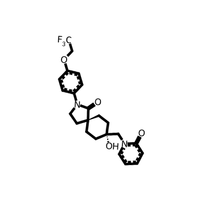 O=c1ccccn1C[C@]1(O)CC[C@]2(CCN(c3ccc(OCC(F)(F)F)cc3)C2=O)CC1